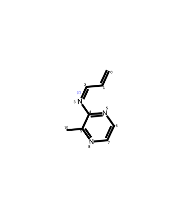 C=C/C=N\c1nccnc1C